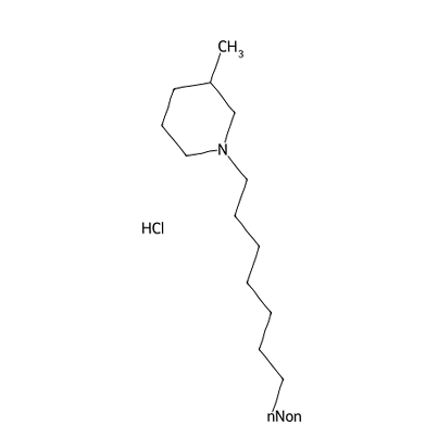 CCCCCCCCCCCCCCCCN1CCCC(C)C1.Cl